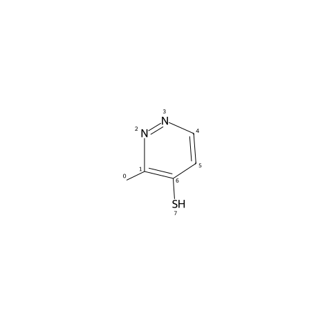 Cc1nnccc1S